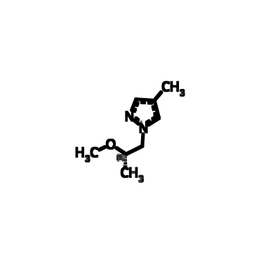 CO[C@@H](C)Cn1cc(C)cn1